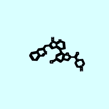 O=C([C@H]1Cc2cc(Cl)cc(-c3ccnc4[nH]c(Cc5cc6ccccc6cn5)cc34)c2O1)N1CCNCC1